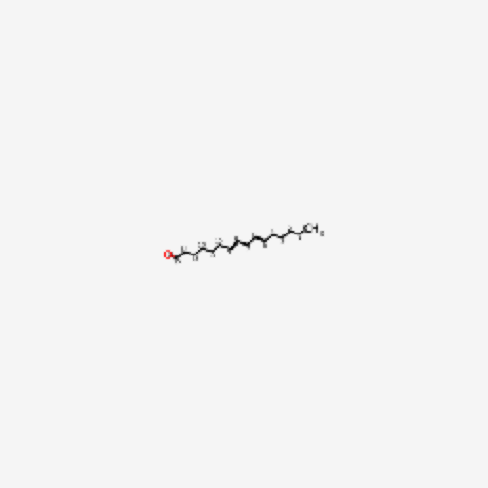 CCCCCC=CCC=CCCCCCC=O